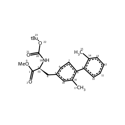 COC(=O)[C@H](Cc1ccc(-c2ccccc2C)c(C)c1)NC(=O)OC(C)(C)C